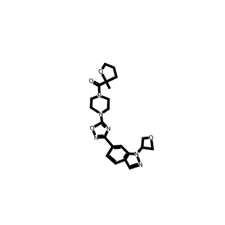 CC1(C(=O)N2CCN(c3nc(-c4ccc5cnn(C6COC6)c5c4)no3)CC2)CCCO1